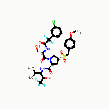 COc1ccc(CS(=O)(=O)[C@@H]2C[C@@H](C(=O)NC(C(C)C)C(O)C(F)(F)F)N(C(=O)[C@H](CO)NC(=O)C(F)(F)c3cccc(Cl)c3)C2)cc1